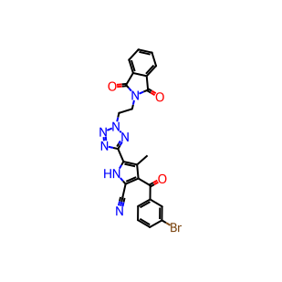 Cc1c(-c2nnn(CCN3C(=O)c4ccccc4C3=O)n2)[nH]c(C#N)c1C(=O)c1cccc(Br)c1